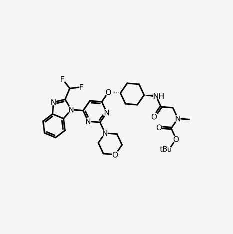 CN(CC(=O)N[C@H]1CC[C@H](Oc2cc(-n3c(C(F)F)nc4ccccc43)nc(N3CCOCC3)n2)CC1)C(=O)OC(C)(C)C